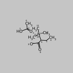 CC(=O)O.CCC(C(=O)[O-])[N+](C)(C)C